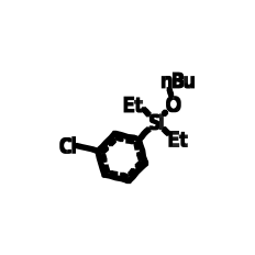 CCCCO[Si](CC)(CC)c1cccc(Cl)c1